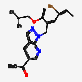 C=C(OCC(CC)CC)/C(=C\C(Br)=C/C)Cn1ncc2cc(C(=O)OC)cnc21